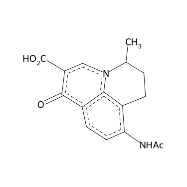 CC(=O)Nc1ccc2c(=O)c(C(=O)O)cn3c2c1CCC3C